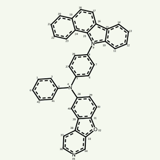 c1ccc(N(c2ccc(-n3c4ccccc4c4ccc5ccccc5c43)cc2)c2ccc3oc4cnccc4c3c2)cc1